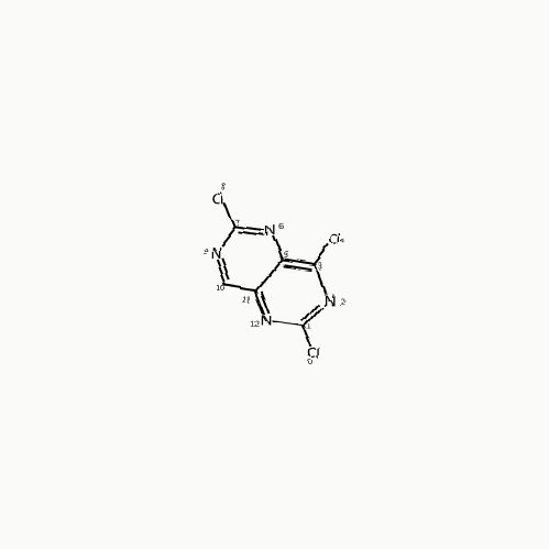 Clc1nc(Cl)c2nc(Cl)ncc2n1